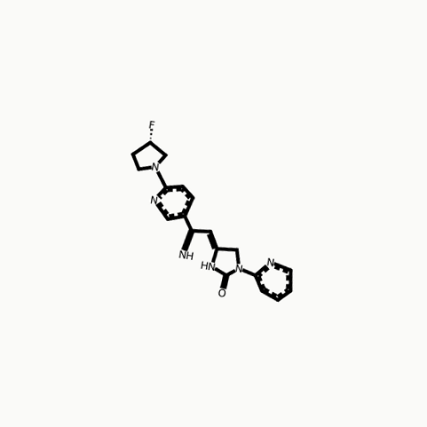 N=C(/C=C1/CN(c2ccccn2)C(=O)N1)c1ccc(N2CC[C@H](F)C2)nc1